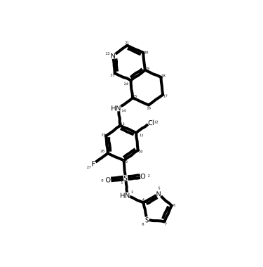 O=S(=O)(Nc1nccs1)c1cc(Cl)c(NC2CCCc3ccncc32)cc1F